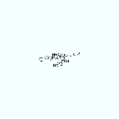 C#CCOCCOCCS[C@@]1(C(=O)O)C[C@H](O)[C@@H](NC(=O)CO)[C@H](C[C@H](O)CNC(=O)Cc2ccc(-c3ccccc3)cc2)O1